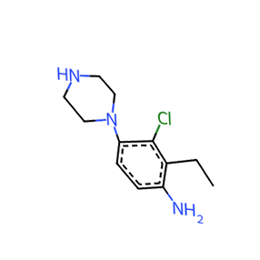 CCc1c(N)ccc(N2CCNCC2)c1Cl